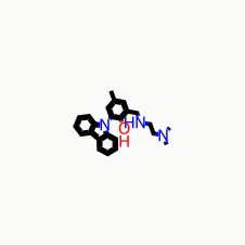 Cc1cc(CNCCN(C)C)c(O)c(-n2c3ccccc3c3ccccc32)c1